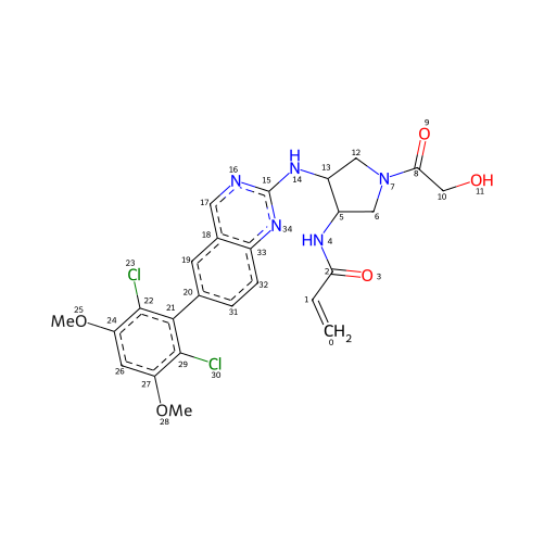 C=CC(=O)NC1CN(C(=O)CO)CC1Nc1ncc2cc(-c3c(Cl)c(OC)cc(OC)c3Cl)ccc2n1